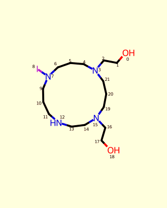 OCCN1CCCN(I)CCCNCCN(CCO)CCC1